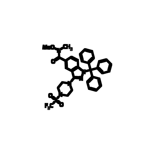 CON(C)C(=O)c1ccc2c(c1)c(N1CCN(S(=O)(=O)C(F)(F)F)CC1)nn2C(c1ccccc1)(c1ccccc1)c1ccccc1